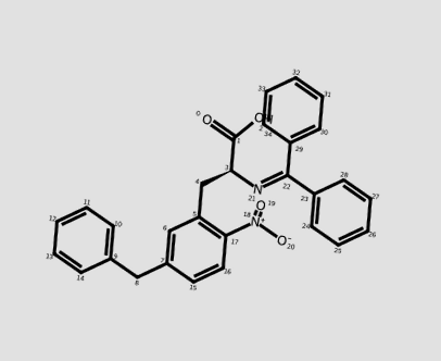 O=C(O)[C@H](Cc1cc(Cc2ccccc2)ccc1[N+](=O)[O-])N=C(c1ccccc1)c1ccccc1